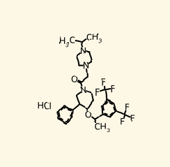 CC(OC1CCN(C(=O)CN2CCN(C(C)C)CC2)CC1c1ccccc1)c1cc(C(F)(F)F)cc(C(F)(F)F)c1.Cl